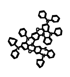 c1ccc(N(c2ccccc2)c2cc3c4c(c2)N(c2ccccc2)c2ccccc2B4c2cc4c(cc2O3)N(c2ccccc2)c2cc(N(c3ccccc3)c3ccccc3)cc3c2B4c2cc4c(cc2O3)N(c2ccccc2)c2ccccc2S4)cc1